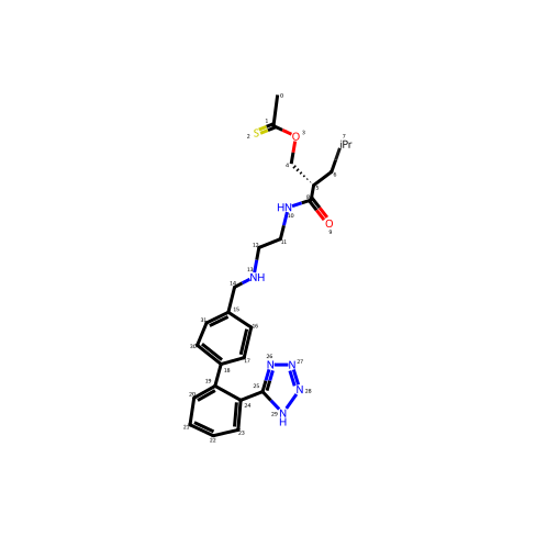 CC(=S)OC[C@H](CC(C)C)C(=O)NCCNCc1ccc(-c2ccccc2-c2nnn[nH]2)cc1